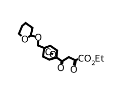 CCOC(=O)C(=O)CC(=O)C12CCC(COC3CCCCO3)(CC1)CO2